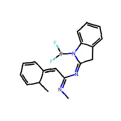 C/N=C(/C=C1/C=CC=CC1C)\N=C1\Cc2ccccc2N1B(F)F